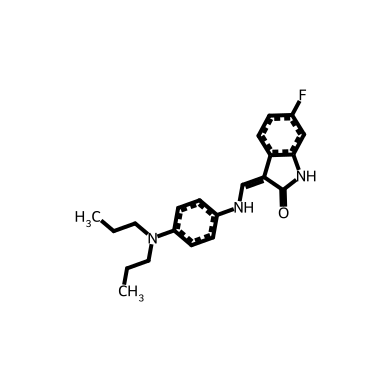 CCCN(CCC)c1ccc(NC=C2C(=O)Nc3cc(F)ccc32)cc1